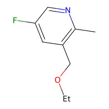 CCOCc1cc(F)cnc1C